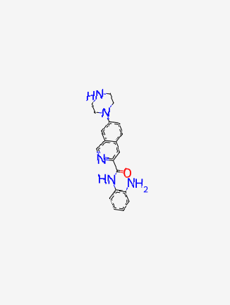 Nc1ccccc1NC(=O)c1cc2ccc(N3CCNCC3)cc2cn1